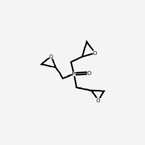 O=P(CC1CO1)(CC1CO1)CC1CO1